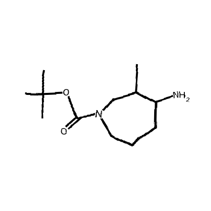 CC1CN(C(=O)OC(C)(C)C)CCCC1N